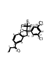 CCC(=O)c1ccc2c(c1)CC(c1cc(Cl)cc(Cl)c1)(C(F)(F)F)O2